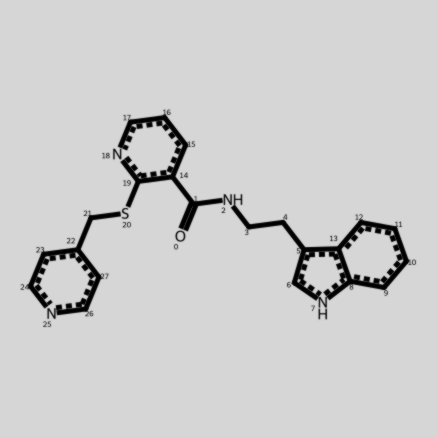 O=C(NCCc1c[nH]c2ccccc12)c1cccnc1SCc1ccncc1